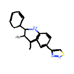 CCCCC1C(C)c2cc(-c3csnn3)ccc2NC1C1C=CC=CC1